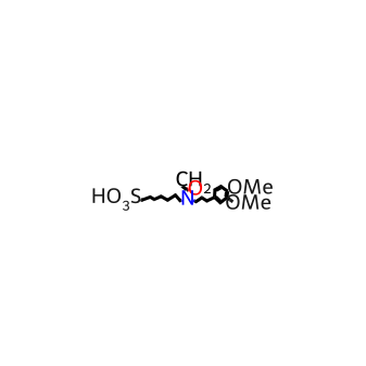 C=CC(=O)N(CCCCCCCS(=O)(=O)O)CCCc1ccc(OC)c(OC)c1